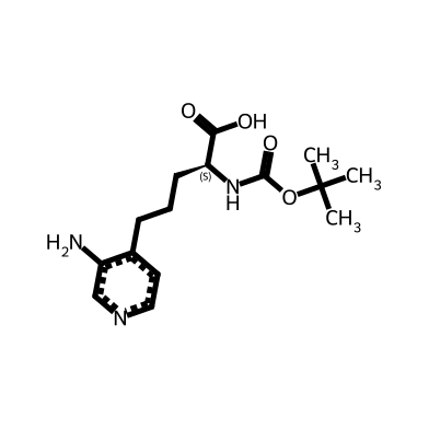 CC(C)(C)OC(=O)N[C@@H](CCCc1ccncc1N)C(=O)O